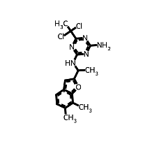 Cc1ccc2cc(C(C)Nc3nc(N)nc(C(C)(Cl)Cl)n3)oc2c1C